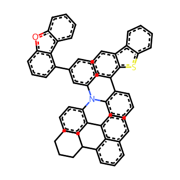 c1cc(-c2cccc3oc4ccccc4c23)cc(N(c2ccccc2-c2cccc3c2sc2ccccc23)c2ccccc2-c2cccc3cccc(C4CCCCC4)c23)c1